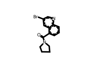 O=C(c1cccc2ncc(Br)cc12)N1CCCC1